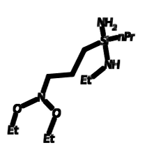 CCC[Si](N)(CCCN(OCC)OCC)NCC